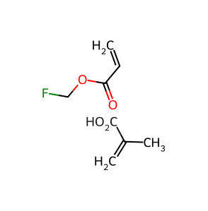 C=C(C)C(=O)O.C=CC(=O)OCF